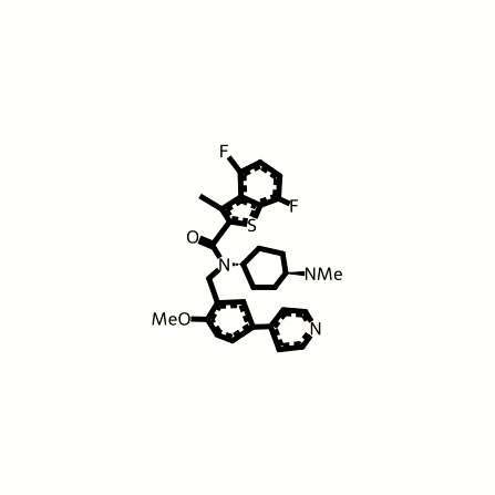 CN[C@H]1CC[C@H](N(Cc2cc(-c3ccncc3)ccc2OC)C(=O)c2sc3c(F)ccc(F)c3c2C)CC1